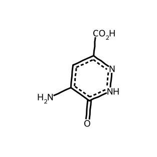 Nc1cc(C(=O)O)n[nH]c1=O